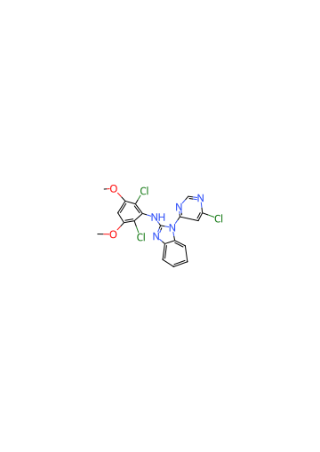 COc1cc(OC)c(Cl)c(Nc2nc3ccccc3n2-c2cc(Cl)ncn2)c1Cl